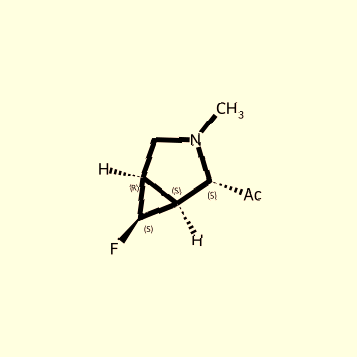 CC(=O)[C@@H]1[C@H]2[C@@H](F)[C@H]2CN1C